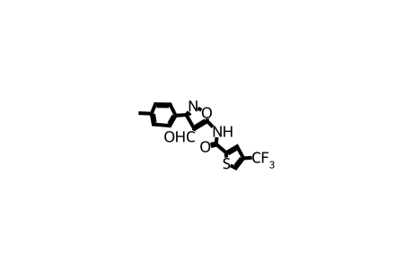 Cc1ccc(-c2noc(NC(=O)c3cc(C(F)(F)F)cs3)c2C=O)cc1